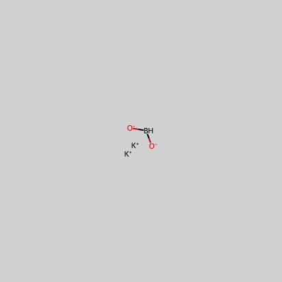 [K+].[K+].[O-]B[O-]